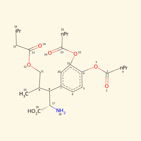 CCCC(=O)Oc1ccc(C(C(C)COC(=O)CC(C)C)[C@H](N)C(=O)O)cc1OC(=O)CCC